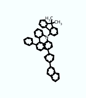 CC1(C)c2ccccc2-c2c(N(c3ccc(-c4ccc(-c5ccc6ccccc6c5)cc4)cc3)c3ccccc3-c3ccccc3-c3ccccc3)cccc21